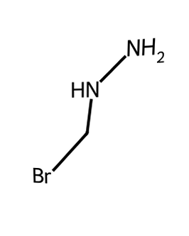 NNCBr